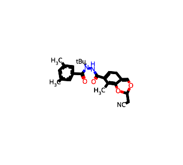 CC1=C2OC(CC#N)OC=C2CC=C1C(=O)NN(C(=O)c1cc(C)cc(C)c1)C(C)(C)C